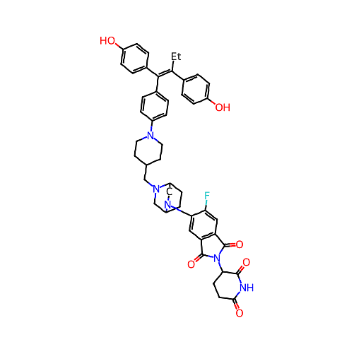 CCC(=C(c1ccc(O)cc1)c1ccc(N2CCC(CN3CC4CCC3CN4c3cc4c(cc3F)C(=O)N(C3CCC(=O)NC3=O)C4=O)CC2)cc1)c1ccc(O)cc1